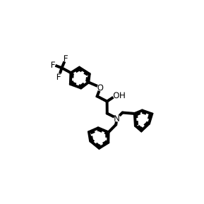 OC(COc1ccc(C(F)(F)F)cc1)CN(Cc1ccccc1)Cc1ccccc1